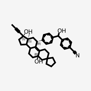 CC#C[C@]1(O)CCC2C3CC[C@@]4(O)CC5(CCCC5)CCC4=C3[C@@H](c3ccc(C(O)c4ccc(C#N)cc4)cc3)C[C@@]21C